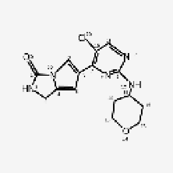 O=C1NCc2cc(-c3nc(NC4CCOCC4)ncc3Cl)cn21